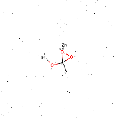 CCOC1(C)OO1.[Zn]